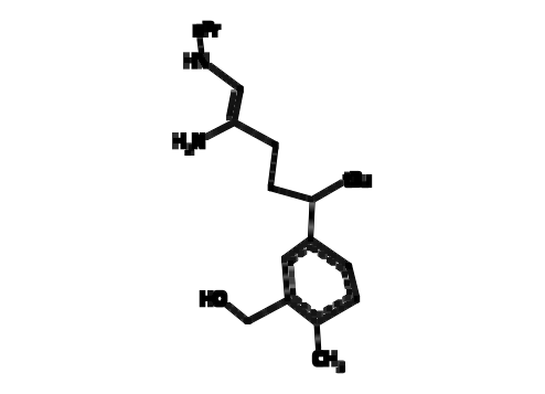 CCCN/C=C(\N)CCC(c1ccc(C)c(CO)c1)C(C)(C)C